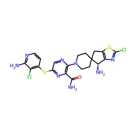 NC(=O)c1nc(Sc2ccnc(N)c2Cl)cnc1N1CCC2(CC1)Cc1sc(Cl)nc1[C@H]2N